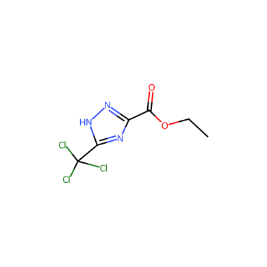 CCOC(=O)c1n[nH]c(C(Cl)(Cl)Cl)n1